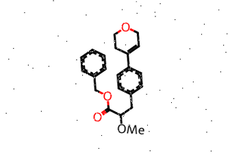 COC(Cc1ccc(C2=CCOCC2)cc1)C(=O)OCc1ccccc1